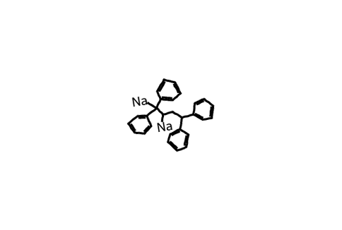 [Na][CH](CC(c1ccccc1)c1ccccc1)[C]([Na])(c1ccccc1)c1ccccc1